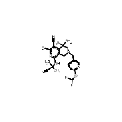 BC(B)(C#N)Nc1nc(Cl)c(C#N)c2c1CN(Cc1ccc(OC(F)F)nc1)CC2(B)B